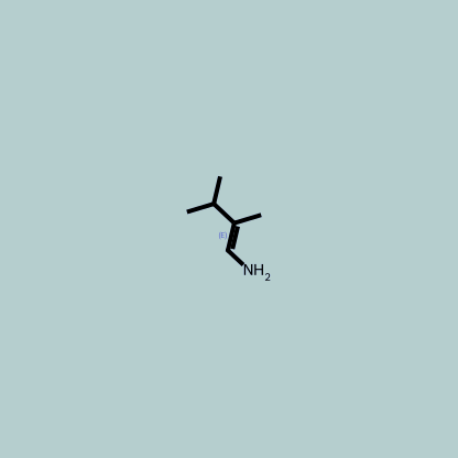 C/C(=C\N)C(C)C